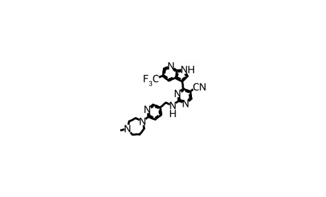 CN1CCCN(c2ccc(CNc3ncc(C#N)c(-c4c[nH]c5ncc(C(F)(F)F)cc45)n3)cn2)CC1